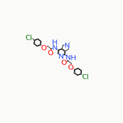 CN1Cc2c(NC(=O)COc3ccc(Cl)cc3)cnc(NC(=O)COc3ccc(Cl)cc3)c2C1